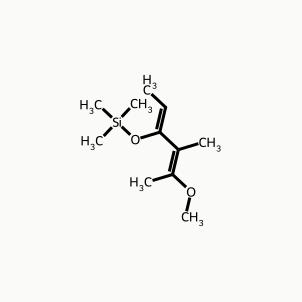 C/C=C(O[Si](C)(C)C)/C(C)=C(\C)OC